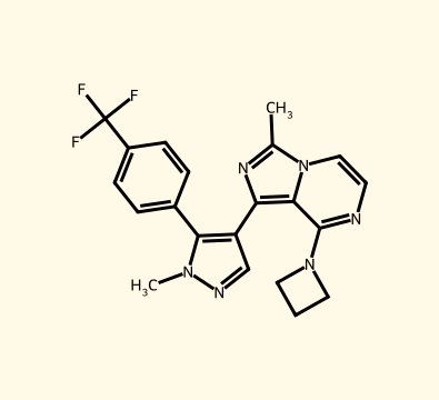 Cc1nc(-c2cnn(C)c2-c2ccc(C(F)(F)F)cc2)c2c(N3CCC3)nccn12